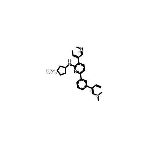 C=C/C(=C\N(C)C)c1cccc(-c2ccc(C(/C=N\C)=C/C)c(NC3CC[C@H](N)C3)n2)c1